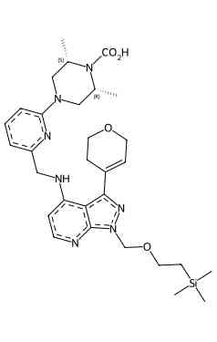 C[C@@H]1CN(c2cccc(CNc3ccnc4c3c(C3=CCOCC3)nn4COCC[Si](C)(C)C)n2)C[C@H](C)N1C(=O)O